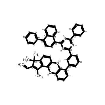 C=CC1=C(C)c2c(ccc3c2Oc2cccc(-c4cccc(-c5nc(-c6ccccc6)nc(-c6ccc(-c7ccccc7)c7ccccc67)n5)c4)c2O3)C1(C)C